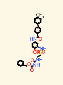 O=C(NCCS(=O)(=O)Nc1cc(NC(=O)c2ccc(-c3ccc(C(F)(F)F)cc3)cc2)ccc1O)NC(=O)OCc1ccccc1